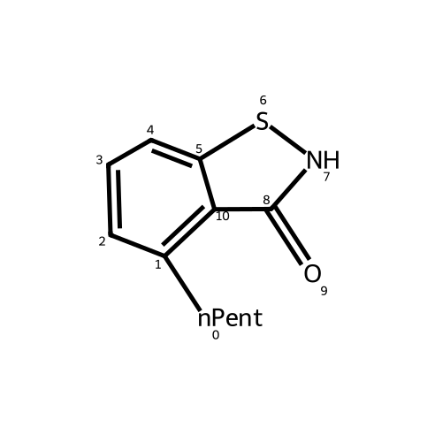 CCCCCc1cccc2s[nH]c(=O)c12